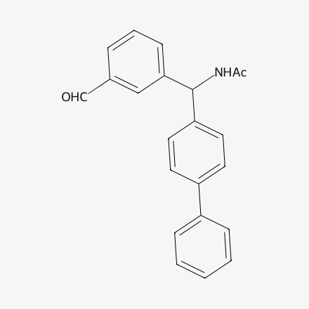 CC(=O)NC(c1ccc(-c2ccccc2)cc1)c1cccc(C=O)c1